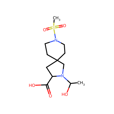 CC(O)N1CC2(CCN(S(C)(=O)=O)CC2)CC1C(=O)O